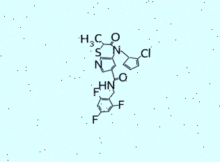 CC1Sc2ncc(C(=O)NCc3c(F)cc(F)cc3F)cc2N(CC2C=CC=C2Cl)C1=O